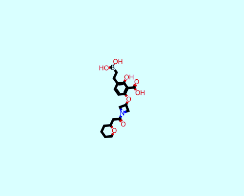 O=C(O)c1c(OC2CN(C(=O)CC3CCCCO3)C2)ccc(CCB(O)O)c1O